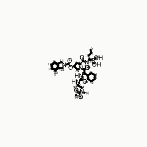 CCC[C@H](NC(=O)[C@@H]1C[C@@H](OC(=O)N2Cc3cccc(F)c3C2)CN1C(=O)[C@@H](NC(=O)N[C@@H](C)CN(C)S(C)(=O)=O)C1CCCCC1)B(O)O